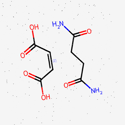 NC(=O)CCC(N)=O.O=C(O)/C=C\C(=O)O